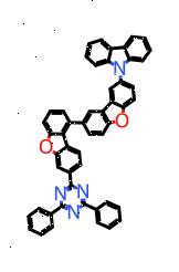 c1ccc(-c2nc(-c3ccccc3)nc(-c3ccc4c(c3)oc3cccc(-c5ccc6oc7ccc(-n8c9ccccc9c9ccccc98)cc7c6c5)c34)n2)cc1